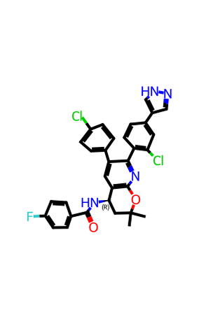 CC1(C)C[C@@H](NC(=O)c2ccc(F)cc2)c2cc(-c3ccc(Cl)cc3)c(-c3ccc(-c4cn[nH]c4)cc3Cl)nc2O1